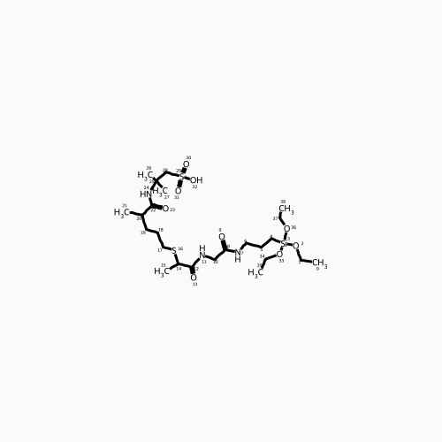 CCO[Si](CCCNC(=O)CNC(=O)C(C)SCCCC(C)C(=O)NC(C)(C)CS(=O)(=O)O)(OCC)OCC